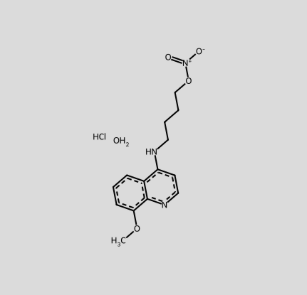 COc1cccc2c(NCCCCO[N+](=O)[O-])ccnc12.Cl.O